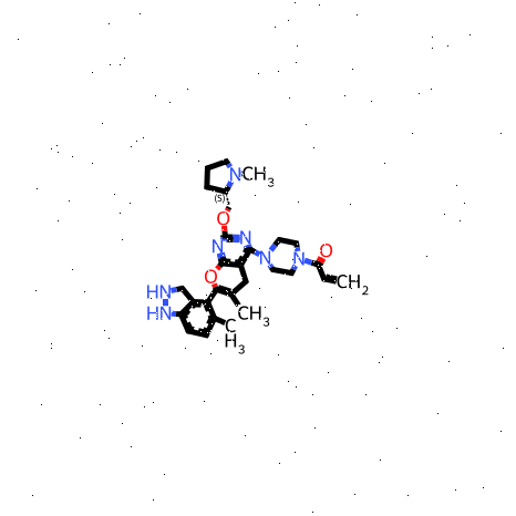 C=CC(=O)N1CCN(c2nc(OC[C@@H]3CCCN3C)nc3c2CC(C)=C(c2c(C)ccc4c2CNN4)O3)CC1